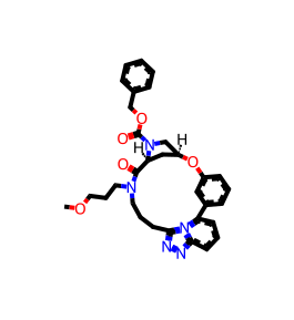 COCCCN1CCCc2nnc3cccc(n23)-c2cccc(c2)O[C@H]2C[C@@H](C1=O)N(C(=O)OCc1ccccc1)C2